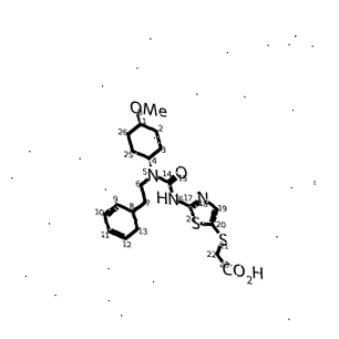 CO[C@H]1CC[C@H](N(CCC2C=CC=CC2)C(=O)Nc2ncc(SCC(=O)O)s2)CC1